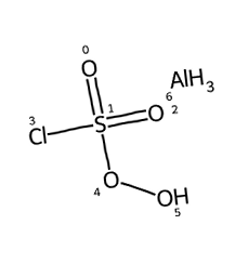 O=S(=O)(Cl)OO.[AlH3]